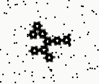 Cc1cc(C)nc(-c2ccc(-c3cc(-c4ccc(-c5ccccc5-c5ccccc5)cc4)cc(-c4nc(-c5ccccc5)nc(-c5ccccc5)n4)c3)cc2)n1